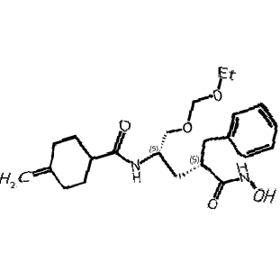 C=C1CCC(C(=O)N[C@H](COCOCC)C[C@H](Cc2ccccc2)C(=O)NO)CC1